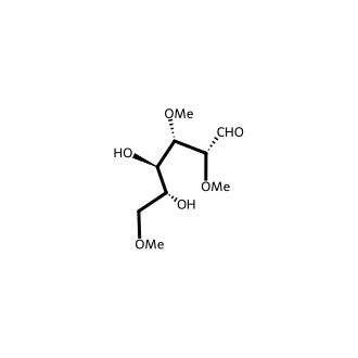 COC[C@@H](O)[C@@H](O)[C@H](OC)[C@H](C=O)OC